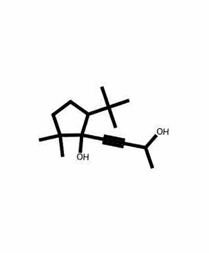 CC(O)C#CC1(O)C(C(C)(C)C)CCC1(C)C